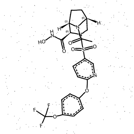 CC(=O)N1[C@@H]2CC[C@H]1[C@H](C(=O)NO)N(S(=O)(=O)c1ccc(Oc3ccc(OC(F)(F)F)cc3)nc1)C2